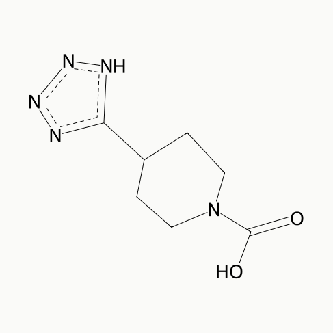 O=C(O)N1CCC(c2nnn[nH]2)CC1